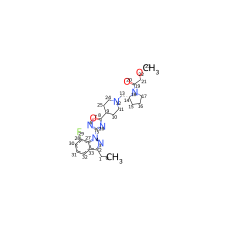 CCc1nn(-c2noc(C3CCN(C[C@H]4CCCN4C(=O)COC)CC3)n2)c2c(F)cccc12